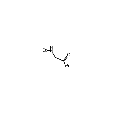 CCNCC(=O)C(C)C